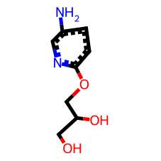 Nc1ccc(OCC(O)CO)nc1